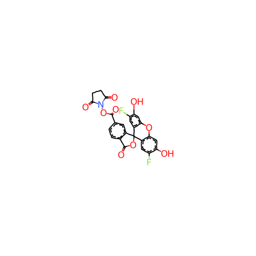 O=C(ON1C(=O)CCC1=O)c1ccc2c(c1)C1(OC2=O)c2cc(F)c(O)cc2Oc2cc(O)c(F)cc21